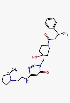 CC(CC(=O)N1CCC(O)(Cn2cnc(NCCN3CCC[C@H]3C)cc2=O)CC1)c1ccccc1